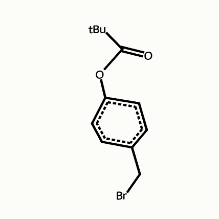 CC(C)(C)C(=O)Oc1ccc(CBr)cc1